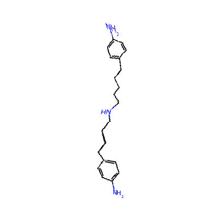 Nc1ccc(CCCCCNCCCCc2ccc(N)cc2)cc1